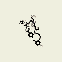 C=CC[C@@H](C)[C@H](C[C@H]1CCO1)S(=O)(=O)NC(=O)c1ccc2c(c1)N(C[C@@H]1CC[C@H]1[C@@H](O)/C=C/CCC)CCCCc1cc(Cl)ccc1CO2